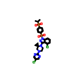 CC(C)S(=O)(=O)c1ccc(S(=O)(=O)n2nc(N3CCN(c4ncc(Cl)cn4)CC34CC4)c3c(Cl)cccc32)cc1